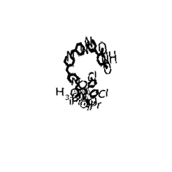 CC(C)[C@H](CS(=O)(=O)C(C)C)N1C(=O)[C@](C)(CC(=O)N2CCC(CC3CCN(CC4CCN(c5cc(C6CCC(=O)NC6=O)ccn5)CC4)CC3)CC2)C[C@@H](c2cccc(Cl)c2)[C@@H]1c1ccc(Cl)cc1